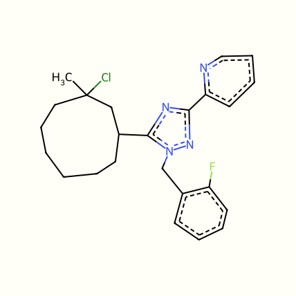 CC1(Cl)CCCCCCC(c2nc(-c3ccccn3)nn2Cc2ccccc2F)C1